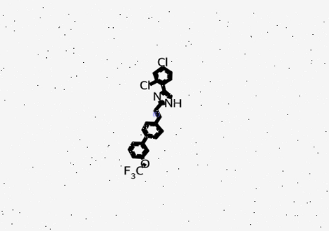 FC(F)(F)Oc1cccc(-c2ccc(/C=C/c3nc(-c4ccc(Cl)cc4Cl)c[nH]3)cc2)c1